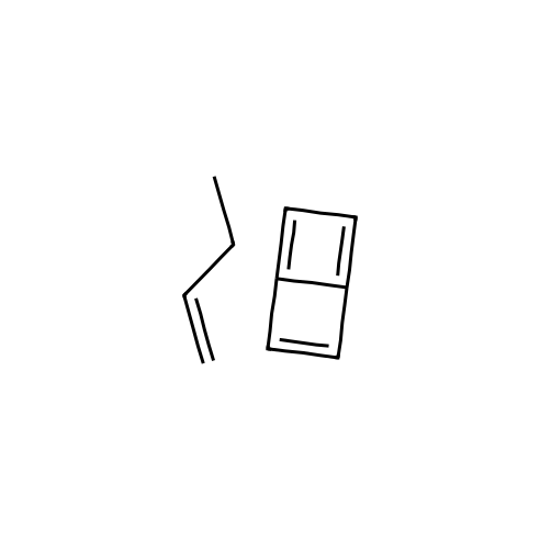 C=CCC.c1cc2ccc1-2